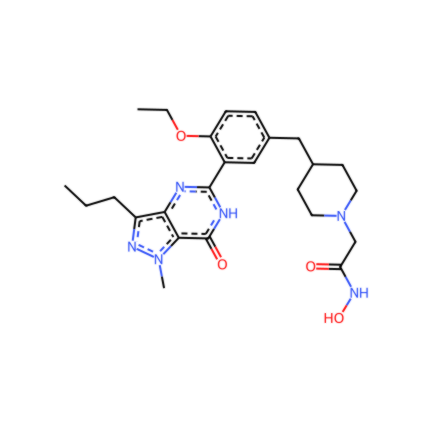 CCCc1nn(C)c2c(=O)[nH]c(-c3cc(CC4CCN(CC(=O)NO)CC4)ccc3OCC)nc12